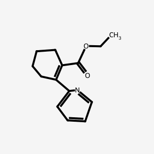 CCOC(=O)C1=C(c2ccccn2)CCCC1